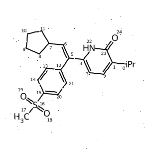 CC(C)c1ccc(C(=CC2CCCC2)c2ccc(S(C)(=O)=O)cc2)[nH]c1=O